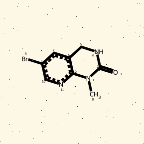 CN1C(=O)NCc2cc(Br)cnc21